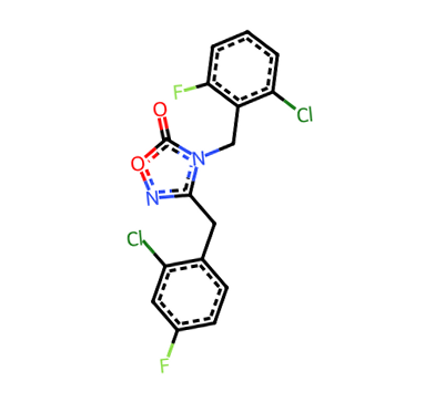 O=c1onc(Cc2ccc(F)cc2Cl)n1Cc1c(F)cccc1Cl